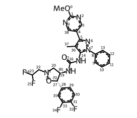 COc1ncc(-c2nn(-c3ccccc3)c(NC(=O)N[C@@H]3CN(CC(F)F)O[C@H]3c3ccc(F)c(F)c3)c2C)cn1